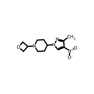 Cc1nn(C2CCN(C3COC3)CC2)cc1[N+](=O)[O-]